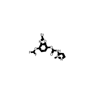 CCc1nc2c(OC(F)F)ccc(OC(=O)Nc3ccnn3C)c2o1